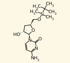 CC(C)(C)[Si](C)(C)OC[C@@H]1C[C@@H](O)[C@H](n2ccc(N)nc2=O)O1